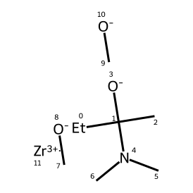 CCC(C)([O-])N(C)C.C[O-].C[O-].[Zr+3]